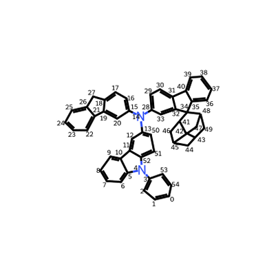 c1ccc(-n2c3ccccc3c3cc(N(c4ccc5c(c4)-c4ccccc4C5)c4ccc5c(c4)C4(c6ccccc6-5)C5CC6CC(C5)CC4C6)ccc32)cc1